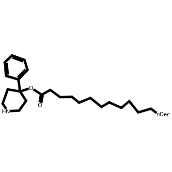 CCCCCCCCCCCCCCCCCCCCCC(=O)OC1(c2ccccc2)CCNCC1